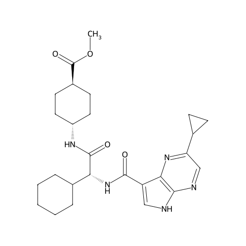 COC(=O)[C@H]1CC[C@H](NC(=O)[C@H](NC(=O)c2c[nH]c3ncc(C4CC4)nc23)C2CCCCC2)CC1